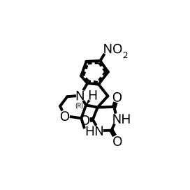 CC1OCCN2c3ccc([N+](=O)[O-])cc3CC3(C(=O)NC(=O)NC3=O)[C@H]12